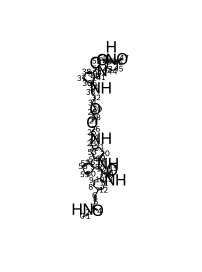 CCNC(=O)C#Cc1ccc2c(c1)NC(=O)/C2=C(\NC1=CCC(CNCCOCCOCCCNc2cccc3c2CN(C2CCC(=O)NC2=O)C3=O)C=C1)c1ccccc1